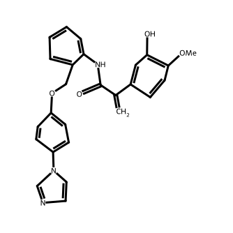 C=C(C(=O)Nc1ccccc1COc1ccc(-n2ccnc2)cc1)c1ccc(OC)c(O)c1